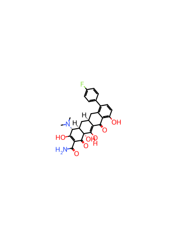 CN(C)[C@H]1C(O)=C(C(N)=O)C(=O)[C@]2(O)C(O)=C3C(=O)c4c(O)ccc(-c5ccc(F)cc5)c4C[C@@H]3C[C@H]12